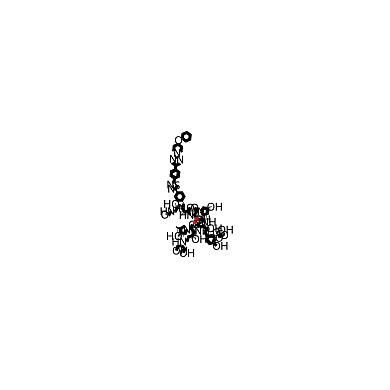 C[C@@H](O)[C@H](NC(=O)[C@H](C)N(C[C@H]1CC[C@H](c2nnc(-c3ccc(-c4cnc(N5CCC(OC6CCCCC6)CC5)nc4)cc3)s2)CC1)[C@@H](O)CNC=O)C(=O)N1C[C@H](O)C[C@H]1C(=O)N[C@H](C(=O)N[C@H](C(=O)N1C[C@@H](O)[C@@H](C)C1)[C@H](O)CCNC(CO)CO)[C@H](O)Cc1ccc(O)c(OS(=O)(=O)O)c1